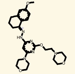 COc1ccc2c(c1)CCC/C2=N\Nc1cc(N2CCOCC2)nc(OCCN2CCOCC2)n1